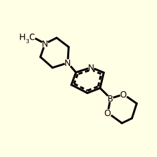 CN1CCN(c2ccc(B3OCCCO3)cn2)CC1